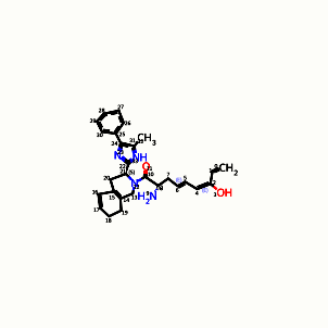 C=C/C(O)=C\C=C\C[C@H](N)C(=O)N1CC2=C(C=CCC2)C[C@H]1c1nc(-c2ccccc2)c(C)[nH]1